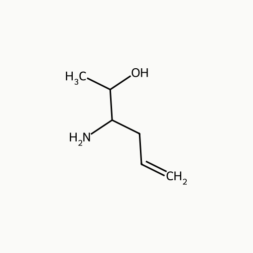 C=CCC(N)C(C)O